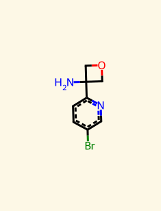 NC1(c2ccc(Br)cn2)COC1